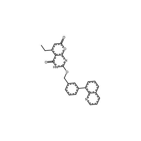 CCc1cc(=O)oc2nc(OCc3cccc(-c4cccc5cccnc45)c3)[nH]c(=O)c12